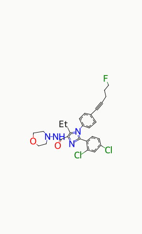 CCc1c(C(=O)NN2CCOCC2)nc(-c2ccc(Cl)cc2Cl)n1-c1ccc(C#CCCCF)cc1